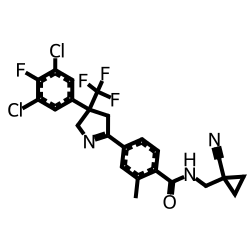 Cc1cc(C2=NCC(c3cc(Cl)c(F)c(Cl)c3)(C(F)(F)F)C2)ccc1C(=O)NCC1(C#N)CC1